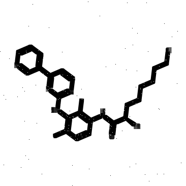 CC[C@H](CCCCCCCl)C(=O)Nc1ccc(C)c(Nc2nccc(-c3cccnc3)n2)c1C